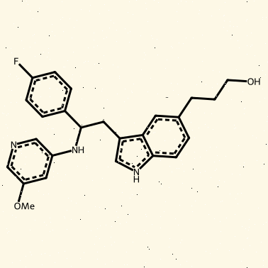 COc1cncc(NC([CH]c2c[nH]c3ccc(CCCO)cc23)c2ccc(F)cc2)c1